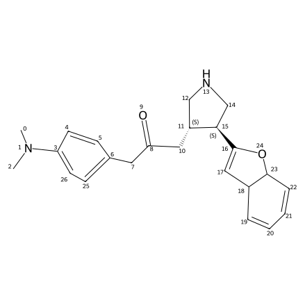 CN(C)c1ccc(CC(=O)C[C@@H]2CNC[C@H]2C2=CC3C=CC=CC3O2)cc1